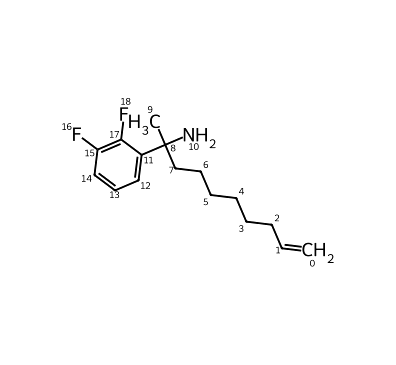 C=CCCCCCCC(C)(N)c1cccc(F)c1F